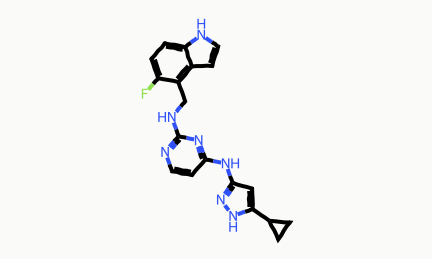 Fc1ccc2[nH]ccc2c1CNc1nccc(Nc2cc(C3CC3)[nH]n2)n1